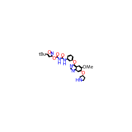 COc1cc2c(Oc3cccc(NC(=O)NC(=O)Oc4cc(C(C)(C)C)on4)c3)ncnc2cc1O[C@@H]1CCNC1